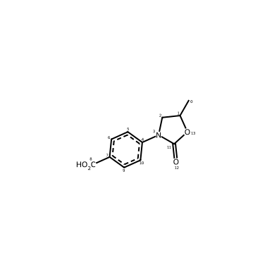 CC1CN(c2ccc(C(=O)O)cc2)C(=O)O1